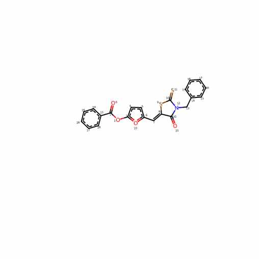 O=C(Oc1ccc(C=C2SC(=S)N(Cc3ccccc3)C2=O)o1)c1ccccc1